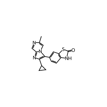 Cc1cn2c(-c3ccc4[nH]c(=O)sc4c3)c(C3CC3)nc2cn1